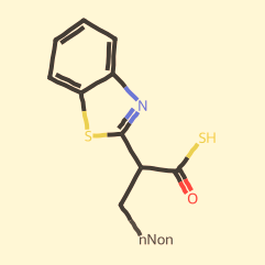 CCCCCCCCCCC(C(=O)S)c1nc2ccccc2s1